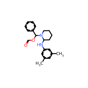 Cc1cc(C)cc(NC2CCCCN2C(OC=O)c2ccccc2)c1